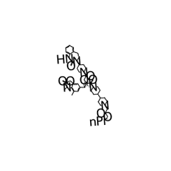 CCCOC(=O)CN1CCC(C2CCN(C(=O)[C@@H](Cc3cc(C)c4c(c3)oc(=O)n4C)OC(=O)N3CCC(N4CCc5ccccc5NC4=O)CC3)CC2)CC1